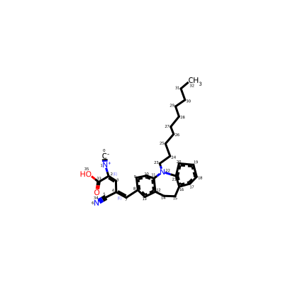 [C-]#[N+]/C(=C/C(C#N)=C\c1ccc2c(c1)CCc1ccccc1N2CCCCCCCCCC)C(=O)O